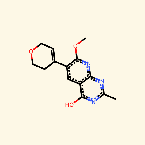 COc1nc2nc(C)nc(O)c2cc1C1=CCOCC1